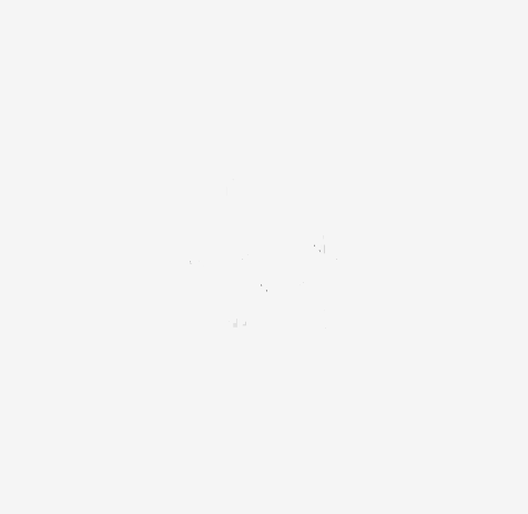 CCCCN(C(N)=O)C(=O)CO